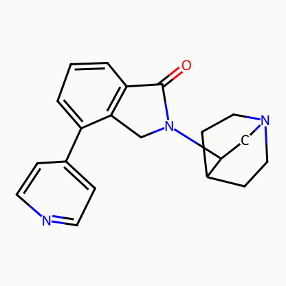 O=C1c2cccc(-c3ccncc3)c2CN1C1CN2CCC1CC2